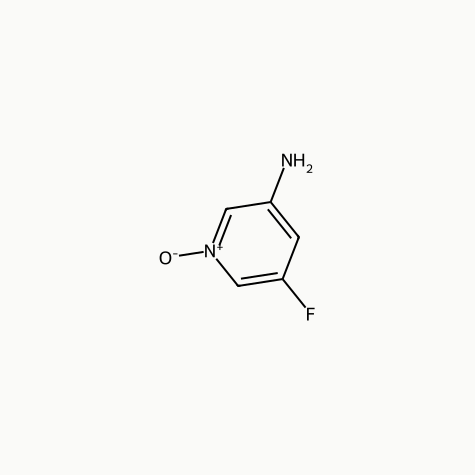 Nc1cc(F)c[n+]([O-])c1